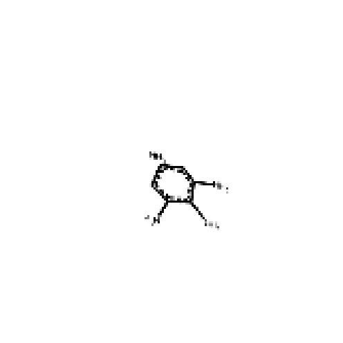 N.Nc1cccc(N)c1N